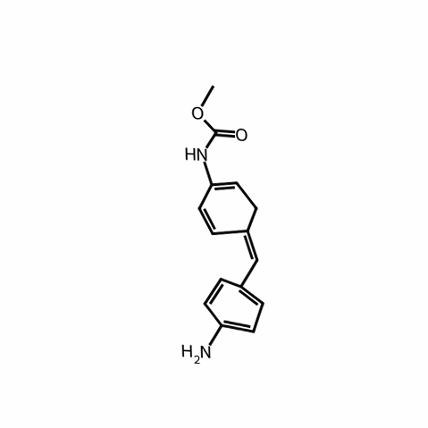 COC(=O)NC1=CCC(=Cc2ccc(N)cc2)C=C1